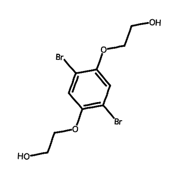 OCCOc1cc(Br)c(OCCO)cc1Br